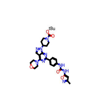 Cc1cc(NC(=O)Nc2ccc(-c3nc(N4CCOCC4)c4cnn(C5CCN(C(=O)OC(C)(C)C)CC5)c4n3)cc2)on1